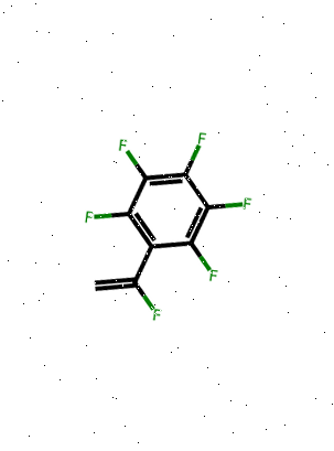 C=C(F)c1c(F)c(F)c(F)c(F)c1F